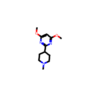 COc1cc(OC)nc(C2CCN(C)CC2)n1